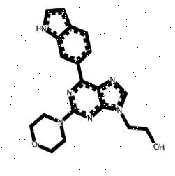 OCCn1cnc2c(-c3ccc4cc[nH]c4c3)nc(N3CCOCC3)nc21